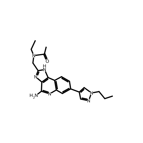 CCCn1cc(-c2ccc3c(c2)nc(N)c2nc(CN(CC)C(C)=O)[nH]c23)cn1